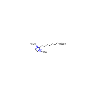 CCCCCCCCCCCCCCCCCc1n(CCCCCCCCCC)cc[n+]1CCCC